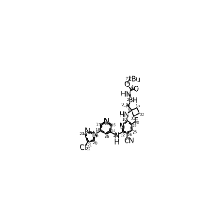 C[C@H](BNC(=O)OC(C)(C)C)C1(Nc2nc(Nc3cncc(-n4cc(Cl)cn4)c3)c(C#N)cc2F)CCC1